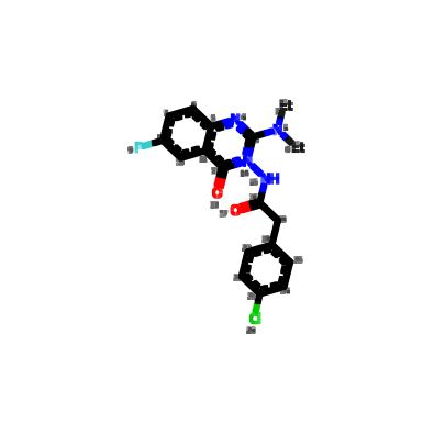 CCN(CC)c1nc2ccc(F)cc2c(=O)n1NC(=O)Cc1ccc(Cl)cc1